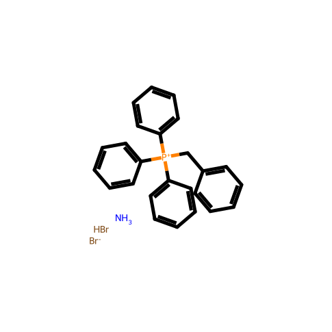 Br.N.[Br-].c1ccc(C[P+](c2ccccc2)(c2ccccc2)c2ccccc2)cc1